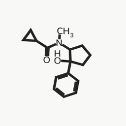 CN(C(=O)C1CC1)C1CCCC1(O)c1ccccc1